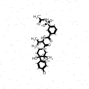 CC(=O)NS(=O)(=O)c1cccc(C(=O)NC(C(=O)N2CCC(O)(c3ccc(Cl)cc3)C(C)(C)C2)C(C)C)c1